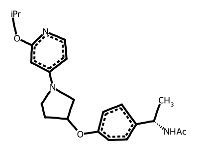 CC(=O)N[C@@H](C)c1ccc(OC2CCN(c3ccnc(OC(C)C)c3)C2)cc1